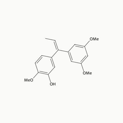 CC=C(c1cc(OC)cc(OC)c1)c1ccc(OC)c(O)c1